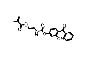 C=C(C)C(=O)OCCNC(=O)Oc1ccc(C(=O)c2ccccc2)c(O)c1